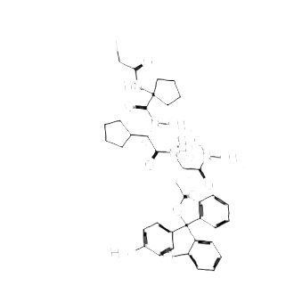 Cc1ccc(C(OC(=O)C[C@@H](C(=O)N(C)C)N(C)C(=O)[C@H](C2CCCC2)N(C)C(=O)C2(NC(=O)CI)CCCC2)(c2ccccc2)c2ccccc2Cl)cc1